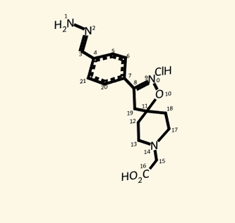 Cl.NN=Cc1ccc(C2=NOC3(CCN(CC(=O)O)CC3)C2)cc1